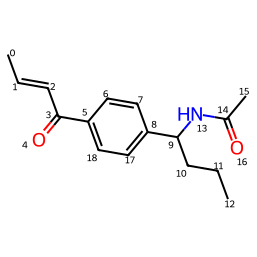 C/C=C/C(=O)c1ccc(C(CCC)NC(C)=O)cc1